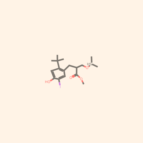 COC(=O)C(CO[SiH](C)C)Cc1cc(I)c(O)cc1C(C)(C)C